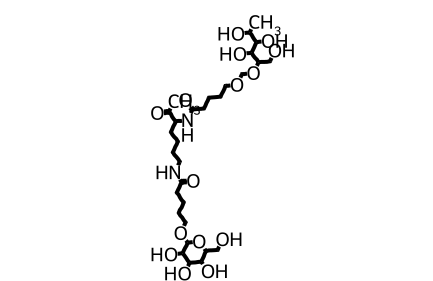 CC(=O)C(CCCCNC(=O)CCCCOC1OC(CO)C(O)C(O)C1O)NC(=O)CCCCOCOC(CO)C(O)C(O)C(C)O